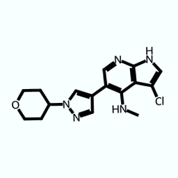 CNc1c(-c2cnn(C3CCOCC3)c2)cnc2[nH]cc(Cl)c12